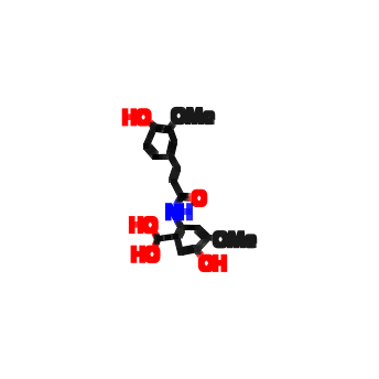 COc1cc(/C=C/C(=O)Nc2cc(OC)c(O)cc2C(O)O)ccc1O